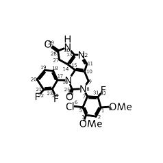 COc1cc(OC)c(Cl)c(N2Cc3cnc4c(c3N(c3cccc(F)c3F)C2=O)CC(=O)N4)c1F